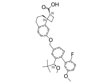 COc1ccc(F)c(-c2ccc(COc3ccc4c(c3)[C@@]3(CCC4)CC[C@@H]3C(=O)O)cc2[C@@H](OC)C(C)(C)C)c1